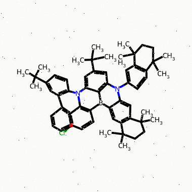 CC(C)(C)c1ccc(N2c3cc(Cl)ccc3B3c4cc5c(cc4N(c4ccc6c(c4)C(C)(C)CCC6(C)C)c4cc(C(C)(C)C)cc2c43)C(C)(C)CCC5(C)C)c(-c2ccccc2)c1